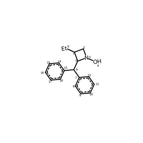 CCC1CN(O)C1C(c1ccccc1)c1ccccc1